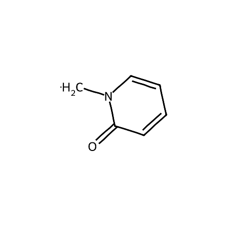 [CH2]n1ccccc1=O